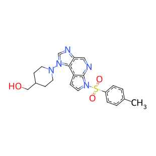 Cc1ccc(S(=O)(=O)n2ccc3c4c(cnc32)ncn4N2CCC(CO)CC2)cc1